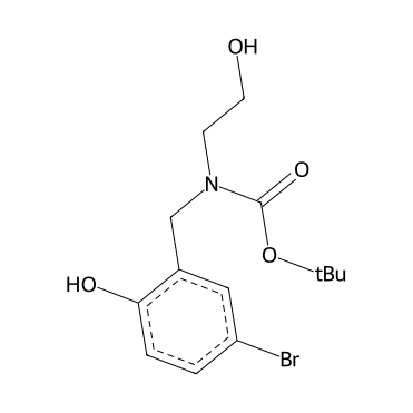 CC(C)(C)OC(=O)N(CCO)Cc1cc(Br)ccc1O